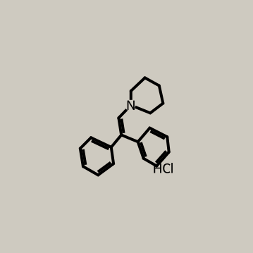 C(=C(c1ccccc1)c1ccccc1)N1CCCCC1.Cl